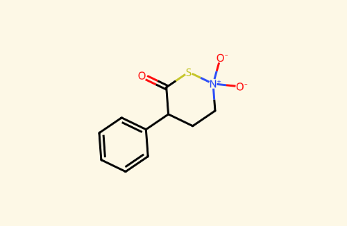 O=C1S[N+]([O-])([O-])CCC1c1ccccc1